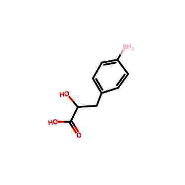 Bc1ccc(CC(O)C(=O)O)cc1